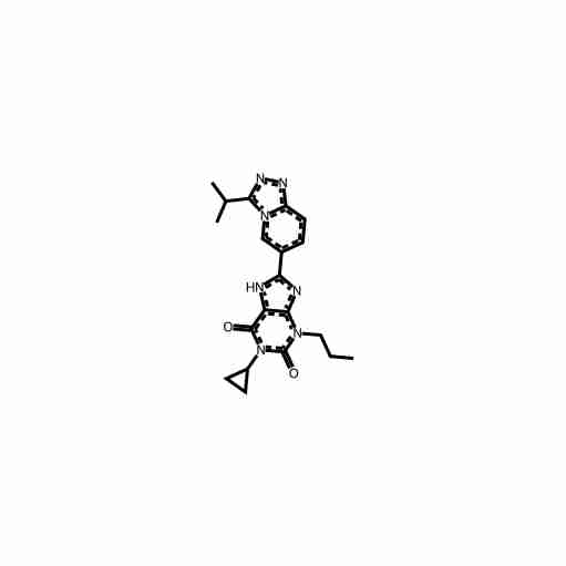 CCCn1c(=O)n(C2CC2)c(=O)c2[nH]c(-c3ccc4nnc(C(C)C)n4c3)nc21